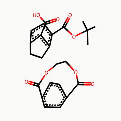 CC(C)(C)OC(=O)c1ccc2c(C(=O)O)c1CC2.O=C1OCCOC(=O)c2ccc1cc2